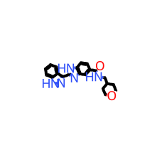 O=C(NCC1CCOCC1)c1ccc2[nH]c(-c3n[nH]c4ccccc34)nc2c1